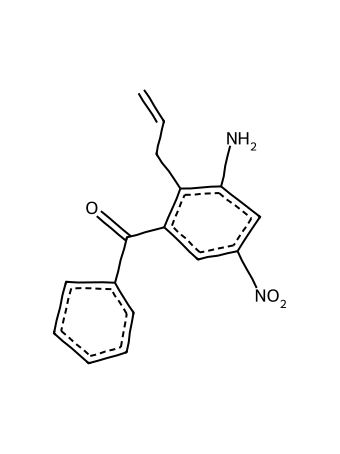 C=CCc1c(N)cc([N+](=O)[O-])cc1C(=O)c1ccccc1